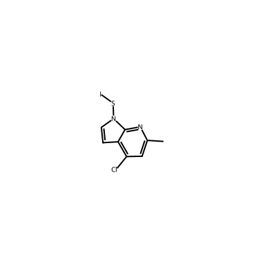 Cc1cc(Cl)c2ccn(SI)c2n1